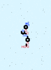 Cn1nc2ccc(Oc3ncccc3C(=O)NCC3CCC(OCC(=O)O)CC3)cc2n1